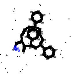 C=C1C(=C\N)/C=C\C=C/C=C/C=C(c2ccccc2)\C=C\1c1ccc(-c2ccccc2)cc1